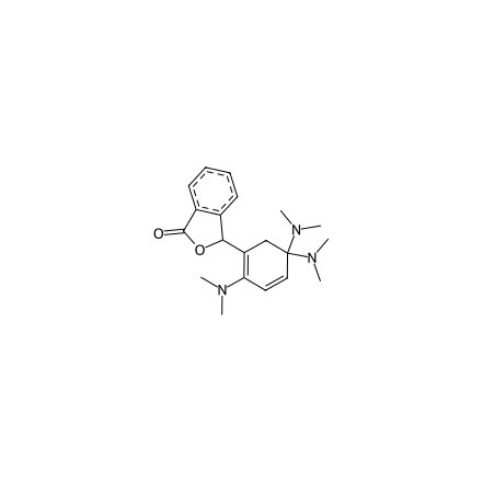 CN(C)C1=C(C2OC(=O)c3ccccc32)CC(N(C)C)(N(C)C)C=C1